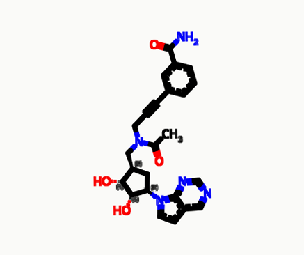 CC(=O)N(CC#Cc1cccc(C(N)=O)c1)C[C@H]1C[C@@H](n2ccc3cncnc32)[C@H](O)[C@@H]1O